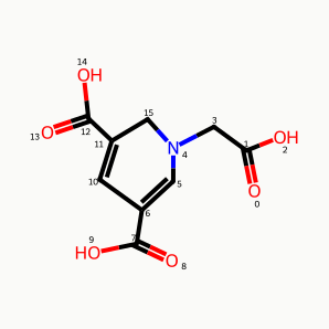 O=C(O)CN1C=C(C(=O)O)C=C(C(=O)O)C1